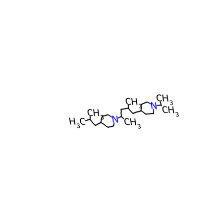 CC(C)CC1CCN(C(C)CC(C)CC2CCN(C(C)C)CC2)CC1